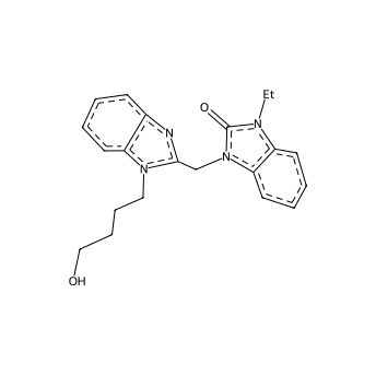 CCn1c(=O)n(Cc2nc3ccccc3n2CCCCO)c2ccccc21